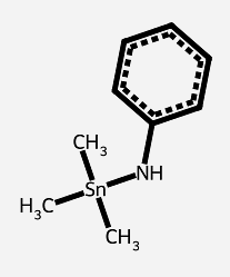 [CH3][Sn]([CH3])([CH3])[NH]c1ccccc1